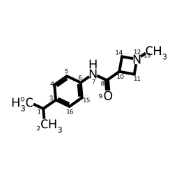 CC(C)c1ccc(NC(=O)C2CN(C)C2)cc1